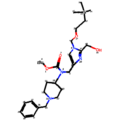 CC(C)(C)OC(=O)N(Cc1cn(COCC[Si](C)(C)C)c(CO)n1)C1CCN(Cc2ccccc2)CC1